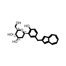 OC[C@H]1O[C@@H](c2cc(Cc3cc4cccccc-4c3)ccc2O)C[C@@H](O)[C@@H]1O